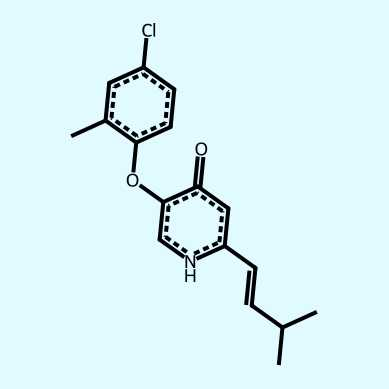 Cc1cc(Cl)ccc1Oc1c[nH]c(/C=C/C(C)C)cc1=O